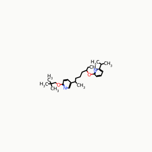 CCC(CCCC(C)c1ccc(OCC(C)(C)C)nc1)Oc1cccc(C(C)C)n1